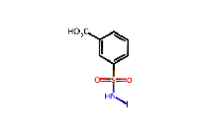 O=C(O)c1cccc(S(=O)(=O)NI)c1